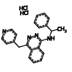 CC(Nc1nnc(Cc2ccncc2)c2ccccc12)c1ccccc1.Cl.Cl